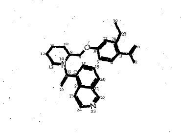 C=C(C)c1ccc(OCC2CCCCN2C(=C)c2cccc3cnccc23)cc1CC